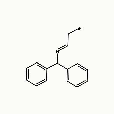 CC(C)CC=NC(c1ccccc1)c1ccccc1